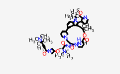 CCn1c(-c2cccnc2[C@H](C)OC)c2c3cc(ccc31)C1=CCCN(C1)C[C@H](NC(=O)[C@@H](COC1CN(C(=O)C#CC(C)(C)N(C)C)C1)N(C)C)C(=O)N1CCC[C@H](N1)C(=O)OCC(C)(C)C2